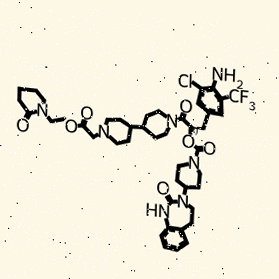 Nc1c(Cl)cc(C[C@@H](OC(=O)N2CCC(N3CCc4ccccc4NC3=O)CC2)C(=O)N2CCC(C3CCN(CC(=O)OCCN4CCCCC4=O)CC3)CC2)cc1C(F)(F)F